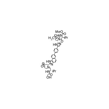 COC(=O)N[C@H](C(=O)N1C[Si](C)(C)C[C@H]1c1ncc(-c2ccc(-c3ccc4c(ccc5nc([C@@H]6CS(=O)(=O)CCN6C[C@@H](NC(=O)CO)C(C)C)[nH]c54)c3)cc2)[nH]1)C(C)C